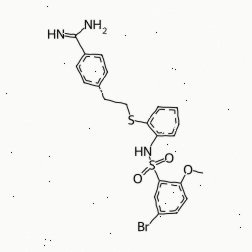 COc1ccc(Br)cc1S(=O)(=O)Nc1ccccc1SCCc1ccc(C(=N)N)cc1